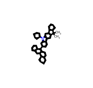 CC1(C)c2ccccc2-c2cc3c(cc21)c1ccc(-c2c4ccccc4cc4c2ccc2ccccc24)cc1n3-c1ccccc1